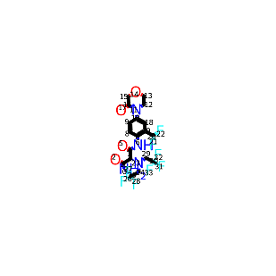 NC(=O)[C@H](C(=O)Nc1ccc(N2CCOCC2=O)cc1C(F)F)N(CC(F)(F)F)CC(F)(F)F